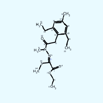 CCOC(=O)/C(=N/N(C)C(=O)Cc1c(CC)cc(C)cc1CC)SC